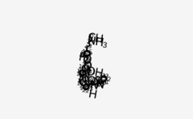 CNCCCc1ccc(OCCCc2ccc(N3CCc4cccc(C(=O)Nc5nc6ccccc6s5)c4C3)nc2C(=O)O)c(F)c1